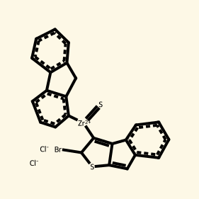 [Cl-].[Cl-].[S]=[Zr+2]([C]1=C2C(=Cc3ccccc32)SC1Br)[c]1cccc2c1Cc1ccccc1-2